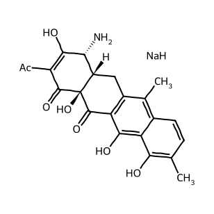 CC(=O)C1=C(O)[C@H](N)[C@@H]2Cc3c(c(O)c4c(O)c(C)ccc4c3C)C(=O)[C@]2(O)C1=O.[NaH]